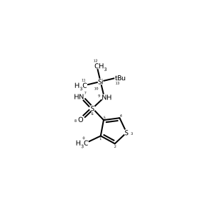 Cc1cscc1S(=N)(=O)N[Si](C)(C)C(C)(C)C